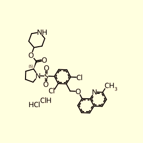 Cc1ccc2cccc(OCc3c(Cl)ccc(S(=O)(=O)N4CCC[C@H]4C(=O)OC4CCNCC4)c3Cl)c2n1.Cl.Cl